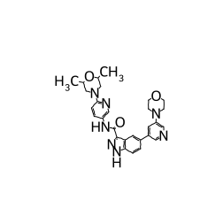 CC1CN(c2ccc(NC(=O)c3n[nH]c4ccc(-c5cncc(N6CCOCC6)c5)cc34)cn2)CC(C)O1